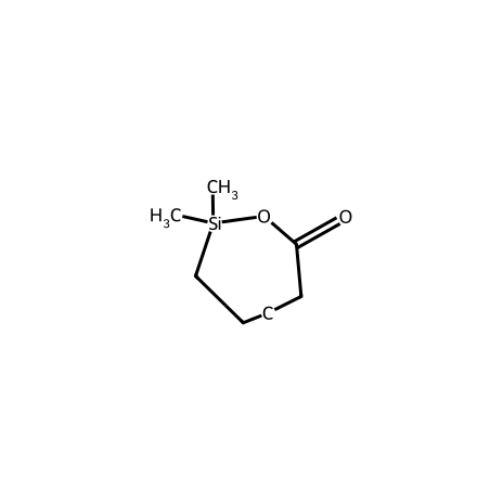 C[Si]1(C)CCCCC(=O)O1